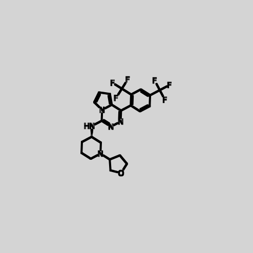 FC(F)(F)c1ccc(-c2nnc(N[C@@H]3CCCN(C4CCOC4)C3)n3cccc23)c(C(F)(F)F)c1